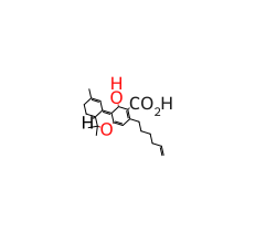 C=CCCCCC1=C(C(=O)O)C(O)C2=C3C=C(C)CC[C@H]3C(C)(C)OC2=C1